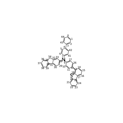 c1ccc(-c2ccc(N(c3ccc(-c4cccc5c4sc4ccccc45)cc3)c3ccc4c(c3)Cc3ccccc3-4)cc2)cc1